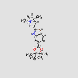 CN1CC(c2nc3cc(B4OC(C)(C)C(C)(C)O4)ccc3s2)CC1(C)C